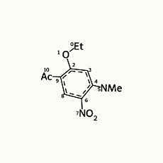 CCOc1cc(NC)c([N+](=O)[O-])cc1C(C)=O